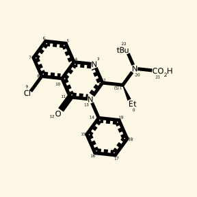 CC[C@@H](c1nc2cccc(Cl)c2c(=O)n1-c1ccccc1)N(C(=O)O)C(C)(C)C